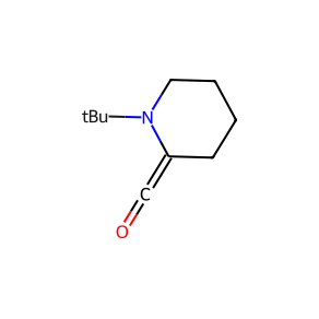 CC(C)(C)N1CCCCC1=C=O